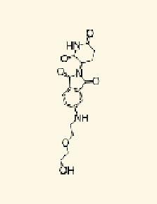 O=C1CCC(N2C(=O)c3ccc(NCCOCCO)cc3C2=O)C(=O)N1